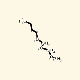 CCCCO[SiH2]O[SiH2]O[SiH3]